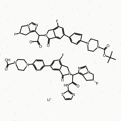 CC(C)(C)OC(=O)N1CCN(c2ccc(-c3cc(F)c4c(c3)C(=O)N(C(C(=O)[O-])c3ncn5c3C[C@@H](F)C5)C4)cc2)CC1.O=C(Nc1nccs1)C(c1ncn2c1C[C@@H](F)C2)N1Cc2c(F)cc(-c3ccc(N4CCN(C(=O)O)CC4)cc3)cc2C1=O.[Li+]